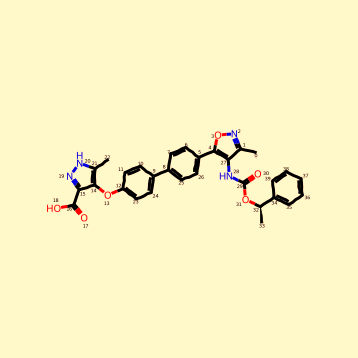 Cc1noc(-c2ccc(-c3ccc(Oc4c(C(=O)O)n[nH]c4C)cc3)cc2)c1NC(=O)O[C@H](C)c1ccccc1